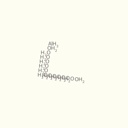 O.O.O.O.O.O.O.O.O.O.O.O.O.O.[AlH3]